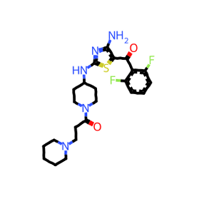 Nc1nc(NC2CCN(C(=O)CCN3CCCCC3)CC2)sc1C(=O)c1c(F)cccc1F